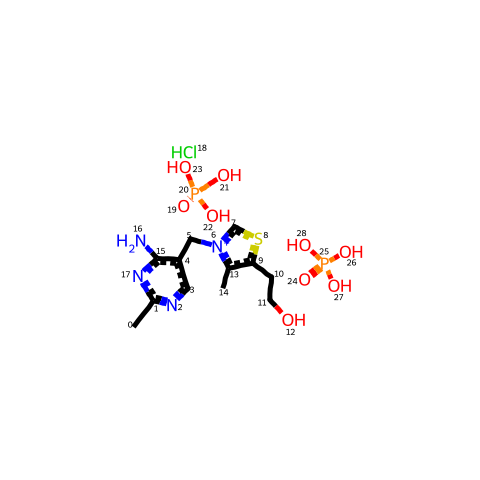 Cc1ncc(C[n+]2csc(CCO)c2C)c(N)n1.Cl.O=P(O)(O)O.O=P(O)(O)O